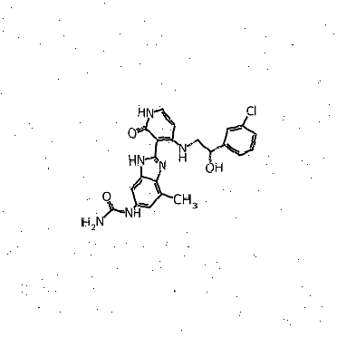 Cc1cc(NC(N)=O)cc2[nH]c(-c3c(NCC(O)c4cccc(Cl)c4)cc[nH]c3=O)nc12